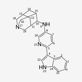 c1ccc2c(-c3ccc(NC4C5CC6CC4CN(C6)C5)cn3)c[nH]c2c1